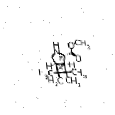 COC(=O)[C@H]1NC[C@H]2[C@@H]1C(C)(C)C2(C)C